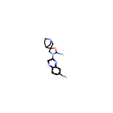 Cc1ccc2ncc(N3CC4(CN5CCC4CC5)OC3N)nc2c1